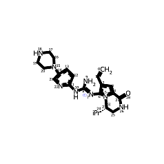 C=Cc1cc2n(c1/N=C(\N)Nc1ccc(N3CCNCC3)cn1)[C@@H](C(C)C)CNC2=O